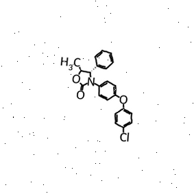 C[C@@H]1OC(=O)N(c2ccc(Oc3ccc(Cl)cc3)cc2)[C@H]1c1ccccc1